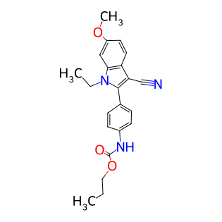 CCCOC(=O)Nc1ccc(-c2c(C#N)c3ccc(OC)cc3n2CC)cc1